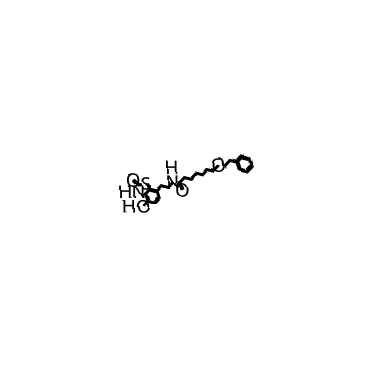 O=C(CCCCCCOCCc1ccccc1)NCCc1ccc(O)c2[nH]c(=O)sc12